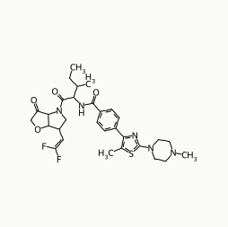 CCC(C)C(NC(=O)c1ccc(-c2nc(N3CCN(C)CC3)sc2C)cc1)C(=O)N1CC(C=C(F)F)C2OCC(=O)C21